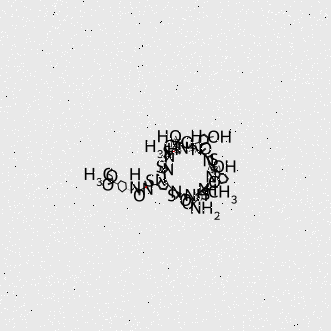 COC(=O)[C@H]1CC[C@H](CNC(=O)c2csc(-c3ccc4c(n3)-c3csc(n3)-c3csc(n3)[C@@H]3[C@@H](C)[C@@H](O)CN3C(=O)[C@H](Cc3ccc(O)cc3)NC(=O)c3csc(n3)[C@H]([C@H](O)c3ccccc3)NC(=O)c3nc(sc3C)[C@H](CC(N)=O)NC(=O)c3csc-4n3)n2)CC1